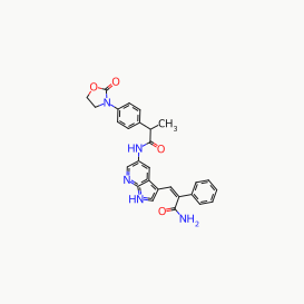 CC(C(=O)Nc1cnc2[nH]cc(C=C(C(N)=O)c3ccccc3)c2c1)c1ccc(N2CCOC2=O)cc1